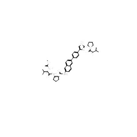 COC(=O)N[C@H](C(=O)N[C@@H]1CCC[C@H]1C(=O)Nc1ccc2cc(-c3ccc(-c4c[nH]c([C@@H]5CCCN5C(=O)[C@@H](C)C(C)C)n4)cc3)ccc2c1)C(C)C